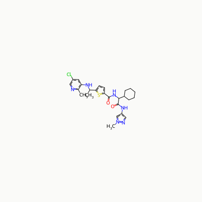 Cc1ncc(Cl)cc1NC(C)c1ccc(C(=O)NC(C(=O)Nc2cnn(C)c2)C2CCCCC2)s1